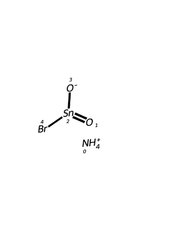 [NH4+].[O]=[Sn]([O-])[Br]